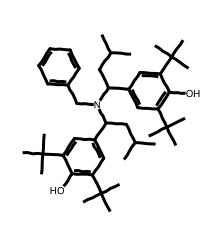 CC(C)CC(c1cc(C(C)(C)C)c(O)c(C(C)(C)C)c1)N(Cc1ccccc1)C(CC(C)C)c1cc(C(C)(C)C)c(O)c(C(C)(C)C)c1